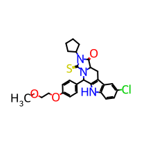 COCCOc1ccc(C2c3[nH]c4ccc(Cl)cc4c3CC3C(=O)N(C4CCCC4)C(=S)N32)cc1